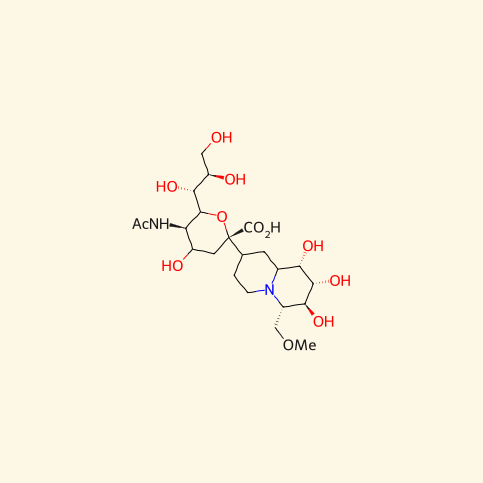 COC[C@H]1[C@H](O)[C@@H](O)[C@@H](O)C2CC([C@]3(C(=O)O)CC(O)[C@@H](NC(C)=O)C([C@H](O)[C@H](O)CO)O3)CCN21